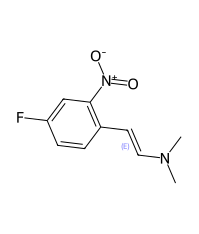 CN(C)/C=C/c1ccc(F)cc1[N+](=O)[O-]